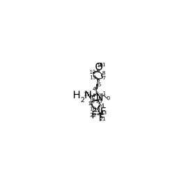 CCn1c(C#Cc2ccc(OC)cc2)c(N)c2ccc(C(F)(F)F)cc21